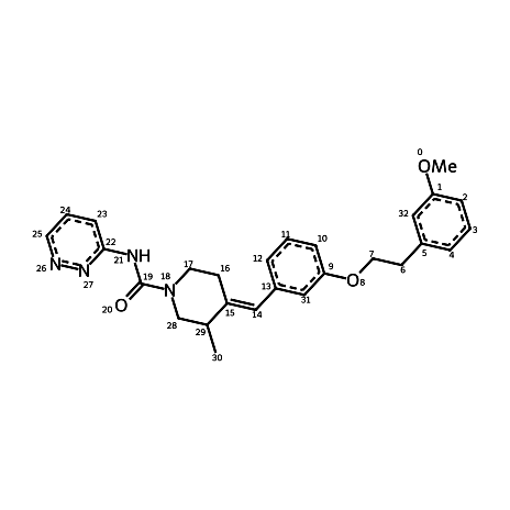 COc1cccc(CCOc2cccc(/C=C3\CCN(C(=O)Nc4cccnn4)CC3C)c2)c1